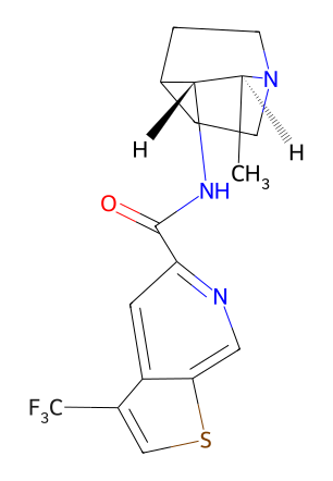 C[C@H]1[C@H](NC(=O)c2cc3c(C(F)(F)F)csc3cn2)C2CCN1CC2